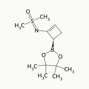 CC1(C)OB([C@@H]2CC=C2N=S(C)(C)=O)OC1(C)C